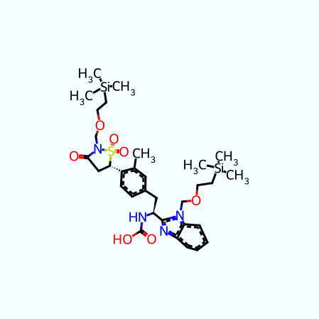 Cc1cc(C[C@H](NC(=O)O)c2nc3ccccc3n2COCC[Si](C)(C)C)ccc1[C@@H]1CC(=O)N(COCC[Si](C)(C)C)S1(=O)=O